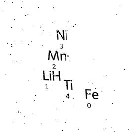 [Fe].[LiH].[Mn].[Ni].[Ti]